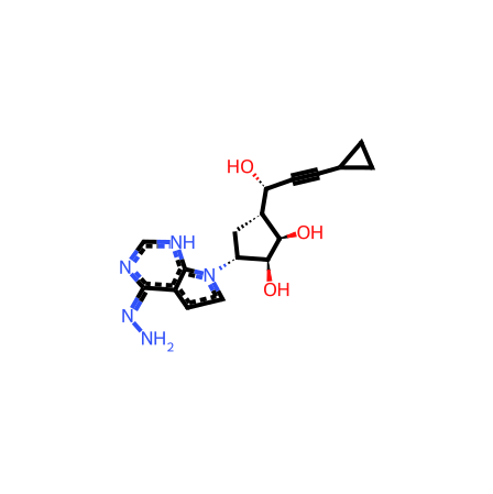 N/N=c1/nc[nH]c2c1ccn2[C@@H]1C[C@H]([C@H](O)C#CC2CC2)[C@@H](O)[C@H]1O